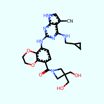 N#Cc1c[nH]c2nc(Nc3ccc(C(=O)N4CC(CO)(CO)C4)c4c3OCCO4)nc(NCC3CC3)c12